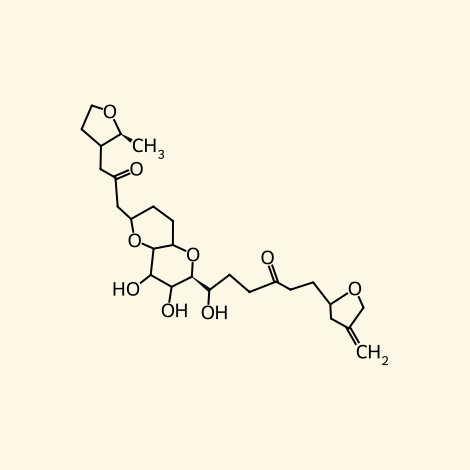 C=C1COC(CCC(=O)CCC(O)[C@@H]2OC3CCC(CC(=O)CC4CCO[C@H]4C)OC3C(O)C2O)C1